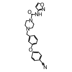 N#Cc1ccc(Oc2cccc(CN3CCN(C(=O)Nc4ccon4)CC3)c2)cc1